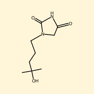 CC(C)(O)CCCN1CC(=O)NC1=O